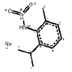 Cc1cccc(C(C)C)c1N[SH](=O)=O.[Na]